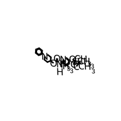 CC(C)(C)[Si](C)(C)Oc1ccc(NC(=O)OC2CCN(c3ccccc3)CC2)nc1